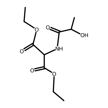 CCOC(=O)C(NC(=O)C(C)O)C(=O)OCC